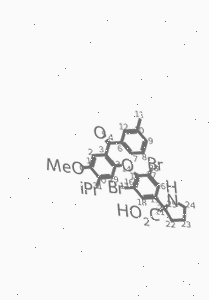 COc1cc(C(=O)c2cccc(C)c2)c(Oc2c(Br)cc([C@@]3(C(=O)O)CCCN3)cc2Br)cc1C(C)C